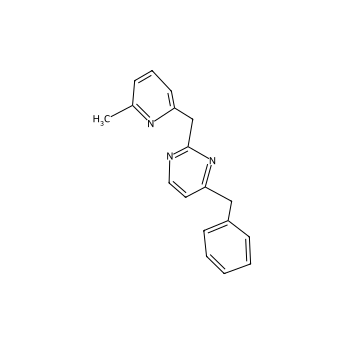 Cc1cccc(Cc2nccc(Cc3ccccc3)n2)n1